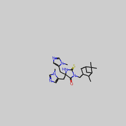 CC1C(CN2C(=O)C(Cc3cncn3C)(Cc3cncn3C)NC2=S)CC2CC1C2(C)C